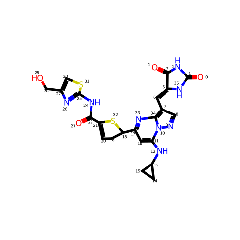 O=C1NC(=O)/C(=C/c2cnn3c(NC4CC4)cc(C4CC=C(C(=O)Nc5nc(CO)cs5)S4)nc23)N1